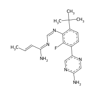 C/C=C/C(N)=N\C=N/c1c(C(C)(C)C)ccc(-c2cnc(N)cn2)c1F